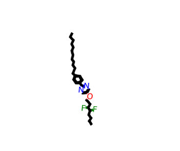 CCCCCCCCCCCCc1ccc(-c2ncc(OCCC(F)C(F)CCCC)cn2)cc1